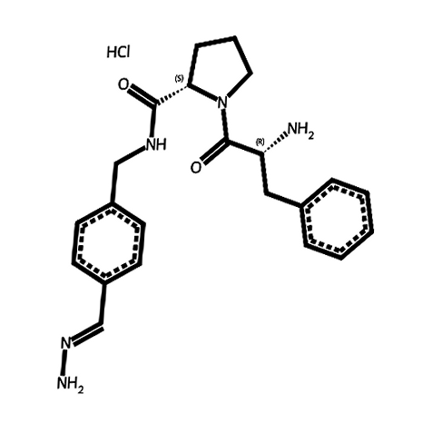 Cl.NN=Cc1ccc(CNC(=O)[C@@H]2CCCN2C(=O)[C@H](N)Cc2ccccc2)cc1